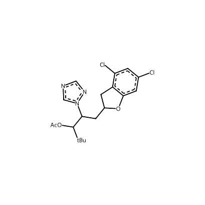 CC(=O)OC(C(CC1Cc2c(Cl)cc(Cl)cc2O1)n1cncn1)C(C)(C)C